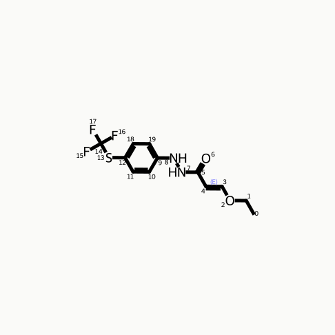 CCO/C=C/C(=O)NNc1ccc(SC(F)(F)F)cc1